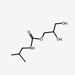 CC(C)CNC(=O)OCC(O)CO